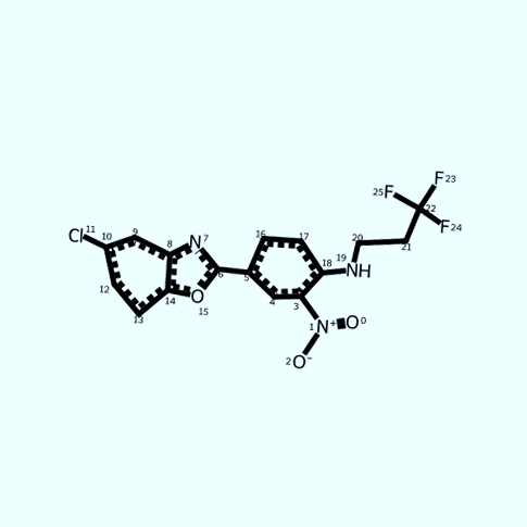 O=[N+]([O-])c1cc(-c2nc3cc(Cl)ccc3o2)ccc1NCCC(F)(F)F